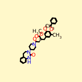 COC(=O)[C@H](CC(=O)N1CCC(N2CCc3ccccc3NC2=O)CC1)Cc1cc(C)c(OCc2ccccc2)c(OC)c1